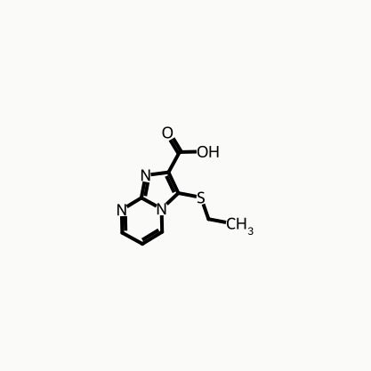 CCSc1c(C(=O)O)nc2ncccn12